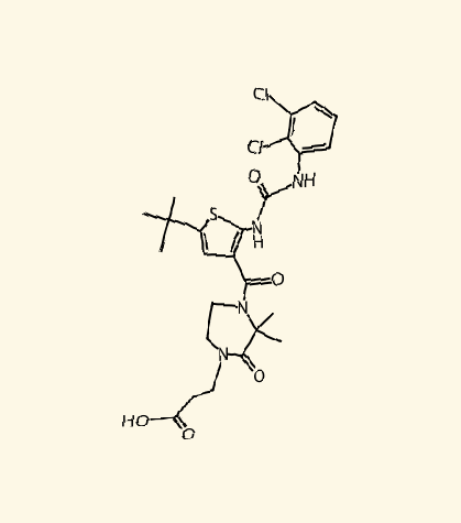 CC(C)(C)c1cc(C(=O)N2CCN(CCC(=O)O)C(=O)C2(C)C)c(NC(=O)Nc2cccc(Cl)c2Cl)s1